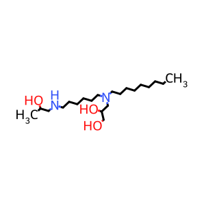 CCCCCCCCCN(CCCCCCNCC(C)O)CC(O)CO